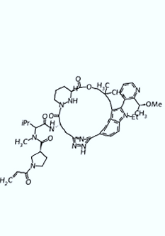 C=CC(=O)N1CC[C@H](C(=O)N(C)C(C(=O)N[C@H]2Cc3n[nH]c(n3)-c3ccc4c(c3)c(c(-c3cccnc3[C@H](C)OC)n4CC)CC(C)(C)COC(=O)[C@@H]3CCCN(N3)C2=O)C(C)C)C1